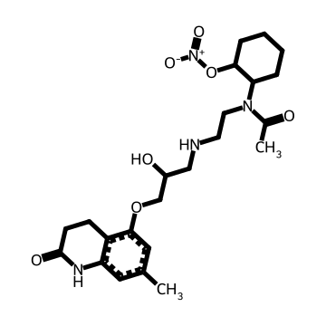 CC(=O)N(CCNCC(O)COc1cc(C)cc2c1CCC(=O)N2)C1CCCCC1O[N+](=O)[O-]